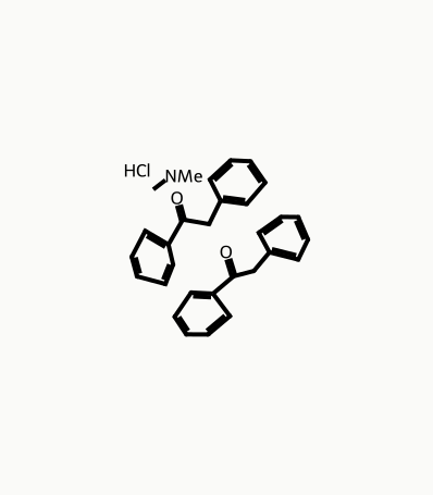 CNC.Cl.O=C(Cc1ccccc1)c1ccccc1.O=C(Cc1ccccc1)c1ccccc1